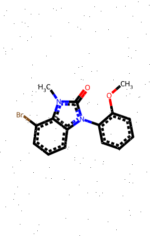 COc1cc[c]cc1-n1c(=O)n(C)c2c(Br)cccc21